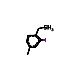 Cc1ccc(C[SiH3])c(I)c1